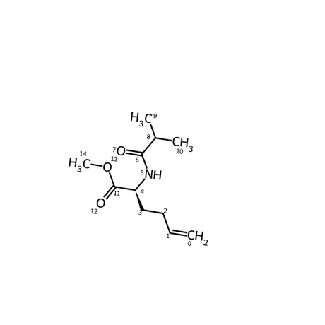 C=CCC[C@H](NC(=O)C(C)C)C(=O)OC